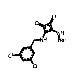 CC(C)(C)Nc1c(NCc2cc(Cl)cc(Cl)c2)c(=O)c1=O